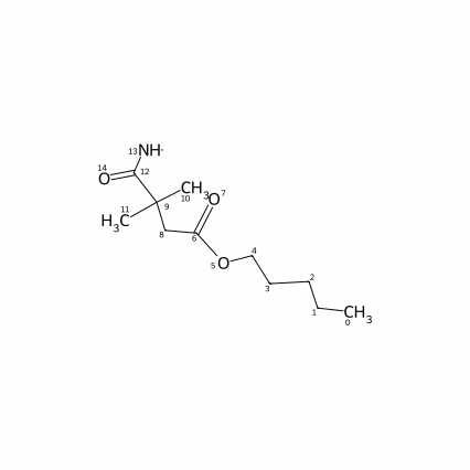 CCCCCOC(=O)CC(C)(C)C([NH])=O